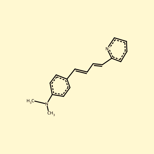 CN(C)c1ccc(C=CC=Cc2ccccn2)cc1